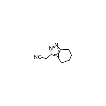 N#CCc1nnc2n1CCCC2